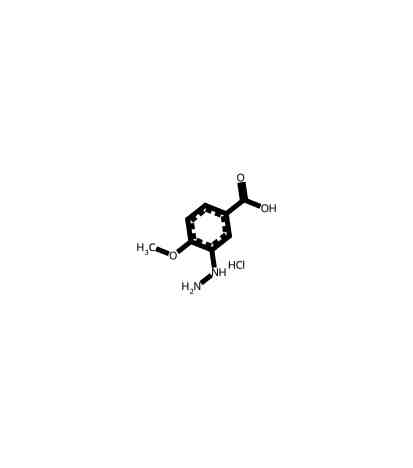 COc1ccc(C(=O)O)cc1NN.Cl